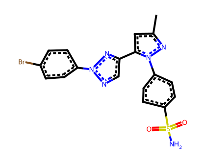 Cc1cc(-c2cnn(-c3ccc(Br)cc3)n2)n(-c2ccc(S(N)(=O)=O)cc2)n1